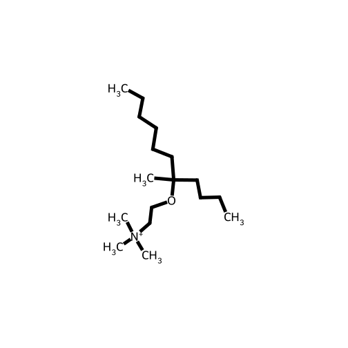 CCCCCCC(C)(CCCC)OCC[N+](C)(C)C